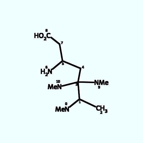 CNC(C)C(CC(N)CC(=O)O)(NC)NC